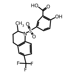 CC1CCc2cc(C(F)(F)F)ccc2N1S(=O)(=O)c1ccc(O)c(C(=O)O)c1